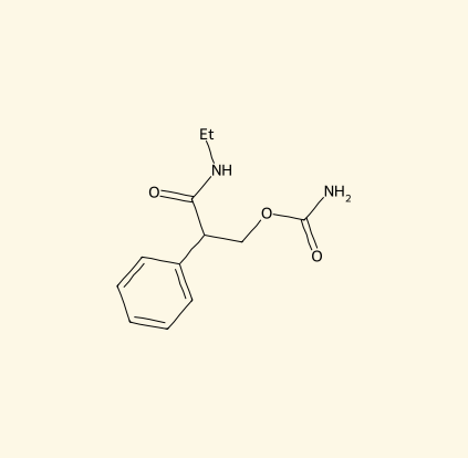 CCNC(=O)C(COC(N)=O)c1ccccc1